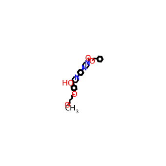 COCCCCOc1ccc(C2(O)CCN(c3ccc(N4CCN(C(=O)OCc5ccccc5)CC4)cc3)CC2)cc1